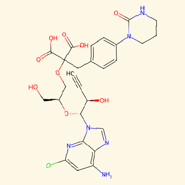 C#C[C@@H](O)[C@@H](O[C@@H](CO)COC(Cc1ccc(N2CCCNC2=O)cc1)(C(=O)O)C(=O)O)n1cnc2c(N)cc(Cl)nc21